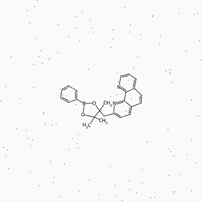 CC1(C)OB(c2ccccc2)OC1(C)Cc1ccc2ccc3cccnc3c2n1